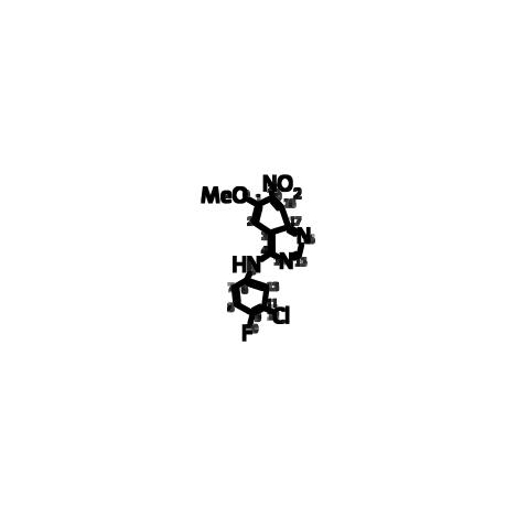 COc1cc2c(Nc3ccc(F)c(Cl)c3)ncnc2cc1[N+](=O)[O-]